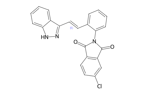 O=C1c2ccc(Cl)cc2C(=O)N1c1ccccc1/C=C/c1n[nH]c2ccccc12